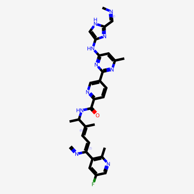 C=N/C(=C\C=C(/C)C(C)NC(=O)c1ccc(-c2nc(C)cc(Nc3c[nH]c(/C=N\C)n3)n2)cn1)c1cc(F)cnc1C